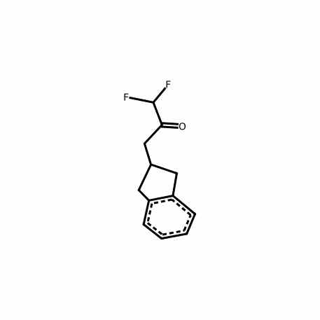 O=C(CC1Cc2ccccc2C1)C(F)F